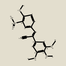 COc1ccc(C=C(C#N)c2cc(OC)c(OC)c(OC)c2)cc1[N+](=O)[O-]